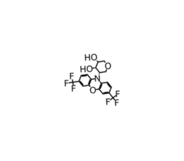 O[C@H]1[C@@H](O)COC[C@@H]1N1c2ccc(C(F)(F)F)cc2Oc2cc(C(F)(F)F)ccc21